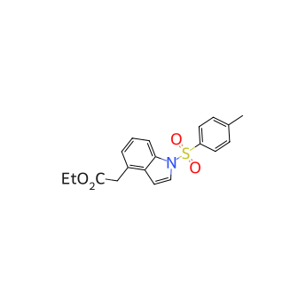 CCOC(=O)Cc1cccc2c1ccn2S(=O)(=O)c1ccc(C)cc1